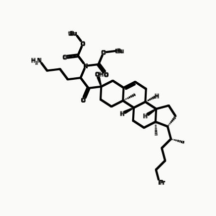 CC(C)CCC[C@@H](C)[C@H]1CC[C@H]2[C@@H]3CC=C4C[C@@](O)(C(=O)C(CCCN)N(C(=O)OC(C)(C)C)C(=O)OC(C)(C)C)CC[C@]4(C)[C@H]3CC[C@]12C